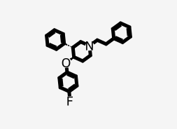 Fc1ccc(O[C@@H]2CCN(CCc3ccccc3)C[C@H]2c2ccccc2)cc1